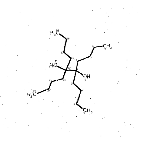 CCCCC(O)(CCCC)C(O)(CCCC)CCCC